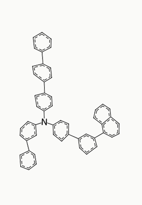 c1ccc(-c2ccc(-c3ccc(N(c4ccc(-c5cccc(-c6cccc7ccccc67)c5)cc4)c4cccc(-c5ccccc5)c4)cc3)cc2)cc1